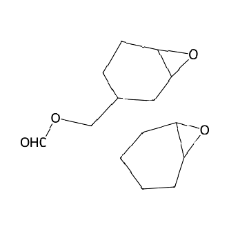 C1CCC2OC2C1.O=COCC1CCC2OC2C1